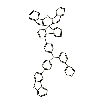 c1ccc(-c2cccc(N(c3ccc(-c4ccc5oc6ccccc6c5c4)cc3)c3ccc(-c4cccc5c4-c4ccccc4C54c5ccc6ccccc6c5Oc5c4ccc4ccccc54)cc3)c2)cc1